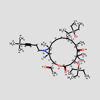 CC[Si](CC)(CC)O[C@H]1[C@@H](C)CCC[C@]2(C)[C@H](C[C@@H](C(C)=O)OC(=O)C[C@H](O[Si](CC)(CC)CC)C(C)(C)C(=O)[C@@H]1C)N2CCC#C[Si](C)(C)C